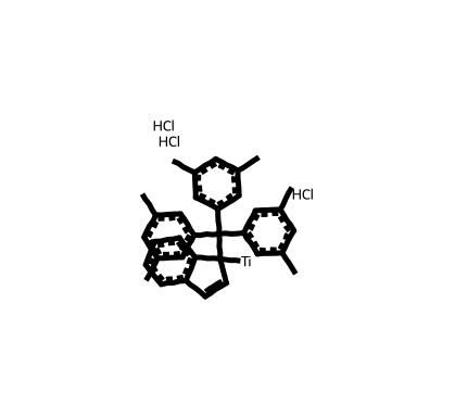 Cc1cc(C)cc(C(c2cc(C)cc(C)c2)(c2cc(C)cc(C)c2)[C]2([Ti])C=Cc3ccccc32)c1.Cl.Cl.Cl